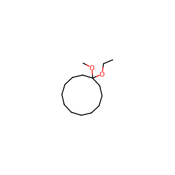 CCOC1(OC)CCCCCCCCCCC1